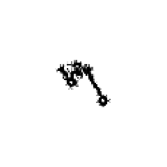 O=C(N[C@H](C(=O)N1CCC[C@@H]1c1ncc(C#CC#CC#Cc2ccccc2)[nH]1)c1ccccc1)C1CC1